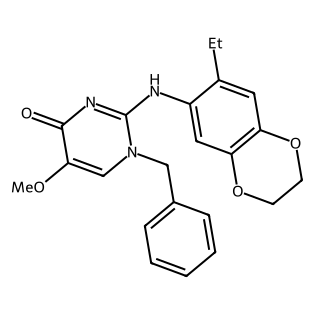 CCc1cc2c(cc1Nc1nc(=O)c(OC)cn1Cc1ccccc1)OCCO2